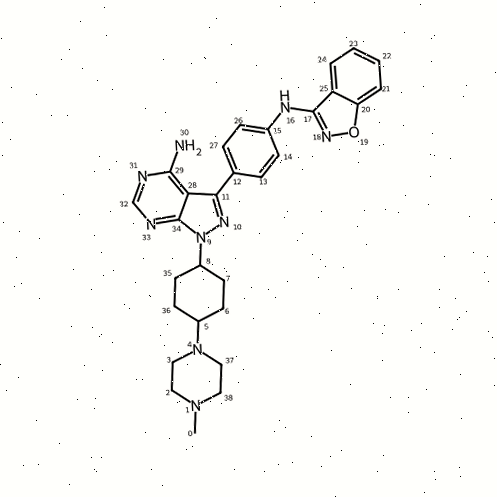 CN1CCN(C2CCC(n3nc(-c4ccc(Nc5noc6ccccc56)cc4)c4c(N)ncnc43)CC2)CC1